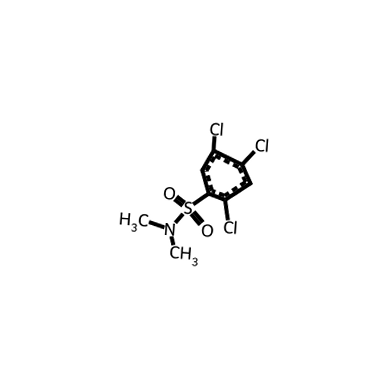 CN(C)S(=O)(=O)c1cc(Cl)c(Cl)cc1Cl